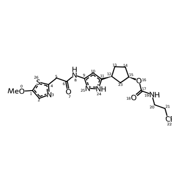 COc1cnc(CC(=O)Nc2cc([C@H]3CC[C@@H](OC(=O)NCCC(F)(F)F)C3)[nH]n2)s1